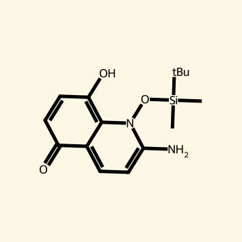 CC(C)(C)[Si](C)(C)On1c(N)ccc2c(=O)ccc(O)c1-2